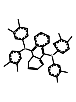 Cc1ccc(N(C2=c3ccccc3=C(N(c3ccc(C)c(C)c3)c3ccc(C)c(C)c3)C3CC=CC=C23)c2ccc(C)c(C)c2)cc1C